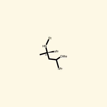 CCCC(C[C@@](C)(CCC)NCC)OC